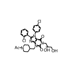 CC(=O)N1CCC(Cn2c(=O)n(C[C@@H](O)CO)c(=O)c3c2nc(-c2ccccc2Cl)n3-c2ccc(Cl)cc2)CC1